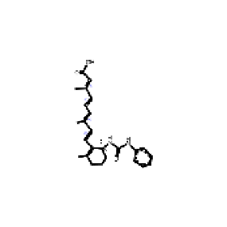 CC1=C(/C=C/C(C)=C/C=C/C(C)=C/C(=O)O)[C@@](C)(NC(=O)Nc2ccccc2)CCC1